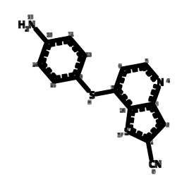 N#Cc1cc2nccc(Sc3ccc(N)cc3)c2s1